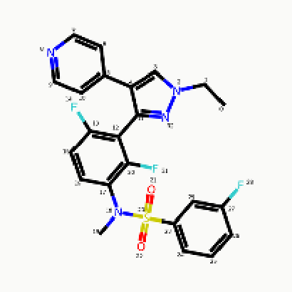 CCn1cc(-c2ccncc2)c(-c2c(F)ccc(N(C)S(=O)(=O)c3cccc(F)c3)c2F)n1